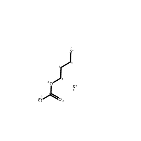 CCC(=O)OCCC[S-].[K+]